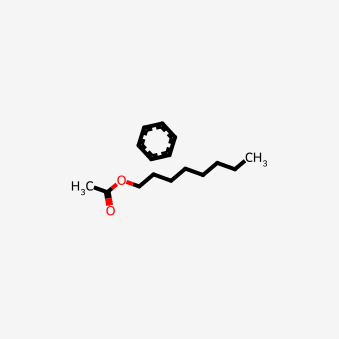 CCCCCCCCOC(C)=O.c1ccccc1